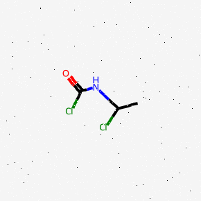 CC(Cl)NC(=O)Cl